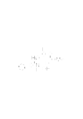 COC(=O)[C@H]1O[C@@H](O)[C@H](NC(=O)OCc2ccccc2)[C@@H](O)[C@@H]1O